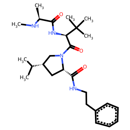 CN[C@@H](C)C(=O)N[C@H](C(=O)N1C[C@@H](C(C)C)C[C@H]1C(=O)NCCc1ccccc1)C(C)(C)C